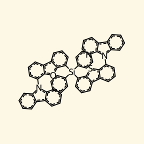 c1ccc([Si](c2ccccc2)(c2cccc3c2oc2c(-n4c5ccccc5c5ccccc54)cccc23)c2cccc3c2sc2c(-n4c5ccccc5c5cccnc54)cccc23)cc1